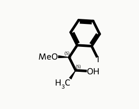 CO[C@@H](c1ccccc1I)[C@H](C)O